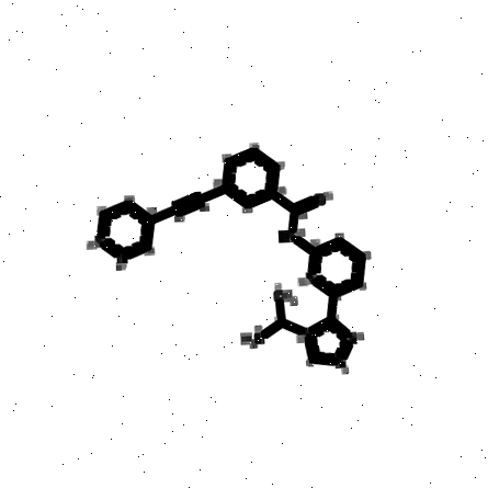 CC(C)n1cnnc1-c1cccc(NC(=O)c2cccc(C#Cc3ccnnc3)c2)n1